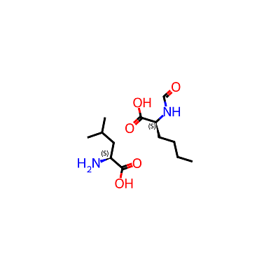 CC(C)C[C@H](N)C(=O)O.CCCC[C@H](NC=O)C(=O)O